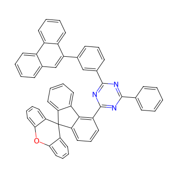 c1ccc(-c2nc(-c3cccc(-c4cc5ccccc5c5ccccc45)c3)nc(-c3cccc4c3-c3ccccc3C43c4ccccc4Oc4ccccc43)n2)cc1